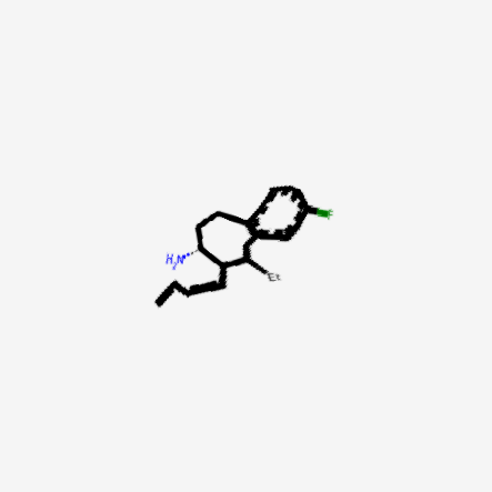 C=C/C=C\C1C(CC)c2cc(F)ccc2CC[C@H]1N